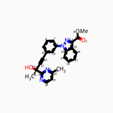 COC(=O)c1nn(-c2cccc(C#C[C@@](C)(O)c3nccc(C)n3)c2)c2ccccc12